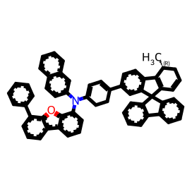 C[C@@H]1CC=CC2=C1c1ccc(C3=CC=C(N(c4ccc5ccccc5c4)c4cccc5c4oc4c(-c6ccccc6)cccc45)CC3)cc1C21c2ccccc2-c2ccccc21